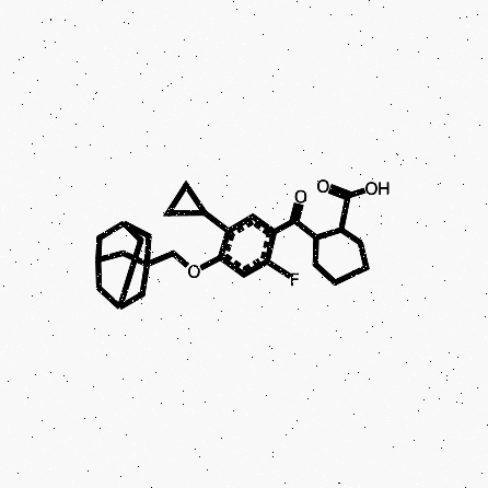 O=C(O)C1CCCCC1C(=O)c1cc(C2CC2)c(OCC23CC4CC(CC(C4)C2)C3)cc1F